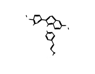 COc1ccc2c(Oc3ccc(/C=C/C(=O)O)cc3)c(-c3ccc(OC)c(F)c3)ccc2c1